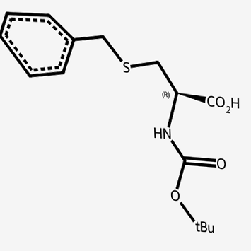 CC(C)(C)OC(=O)N[C@@H](CSCc1ccccc1)C(=O)O